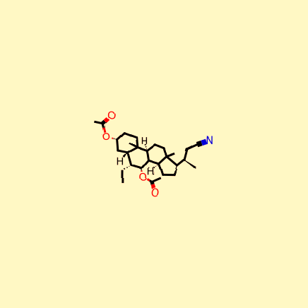 CC[C@H]1[C@@H](OC(C)=O)C2[C@@H]3CC[C@H]([C@H](C)CC#N)C3(C)CC[C@@H]2C2(C)CC[C@@H](OC(C)=O)C[C@@H]12